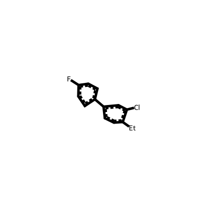 CCc1ccc(-c2ccc(F)cc2)cc1Cl